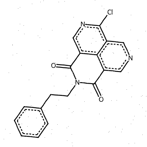 O=C1c2cncc3c(Cl)ncc(c23)C(=O)N1CCc1ccccc1